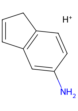 Nc1ccc2c(c1)C=CC2.[H+]